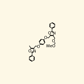 COCOCc1nc(-c2ccccc2)oc1COc1ccc(OCc2nc(-c3ccccc3)oc2C)cc1